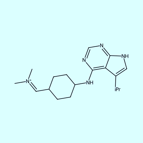 CC(C)c1c[nH]c2ncnc(NC3CCC(C=[N+](C)C)CC3)c12